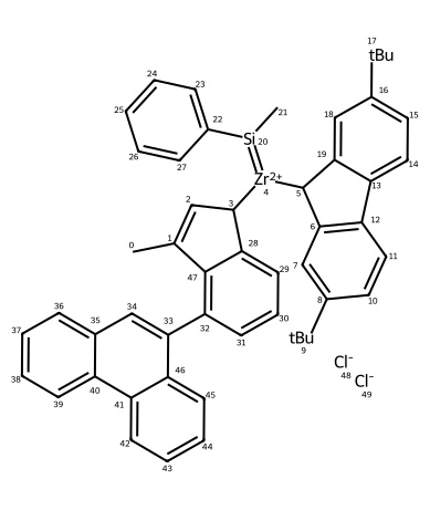 CC1=C[CH](/[Zr+2]([CH]2c3cc(C(C)(C)C)ccc3-c3ccc(C(C)(C)C)cc32)=[Si](/C)c2ccccc2)c2cccc(-c3cc4ccccc4c4ccccc34)c21.[Cl-].[Cl-]